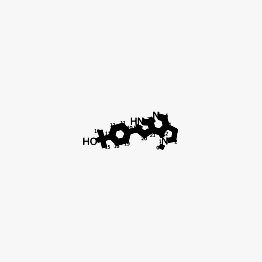 CN1CCc2cnc3[nH]c(-c4ccc(C(C)(C)O)cc4)cc3c21